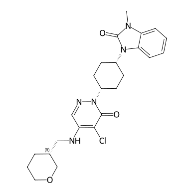 Cn1c(=O)n([C@H]2CC[C@@H](n3ncc(NC[C@H]4CCCOC4)c(Cl)c3=O)CC2)c2ccccc21